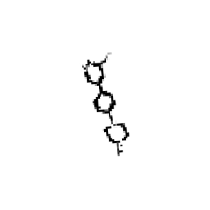 Clc1cc(-c2ccc(N3CCNCC3)cc2)cnn1